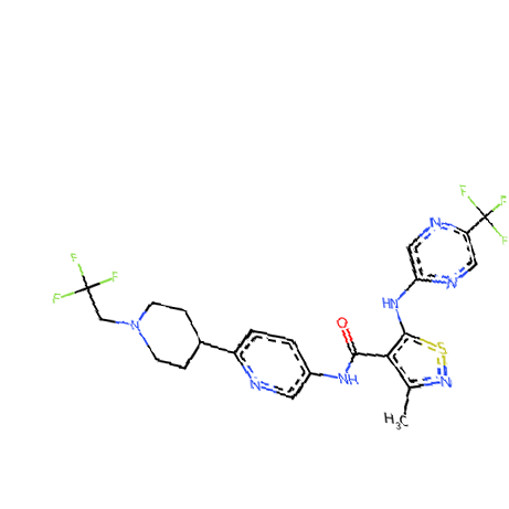 Cc1nsc(Nc2cnc(C(F)(F)F)cn2)c1C(=O)Nc1ccc(C2CCN(CC(F)(F)F)CC2)nc1